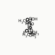 Cc1cccc([C@H](CC(=O)O)NC(=O)c2cc(OC[C@](C)(O)C(C)(C)C)n(-c3ccc(F)cc3)n2)c1C